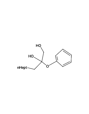 CCCCCCCCC(O)(CO)Oc1ccccc1